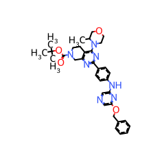 CC1COCCN1c1nc(-c2ccc(Nc3cncc(OCc4ccccc4)n3)cc2)nc2c1CCN(C(=O)OC(C)(C)C)C2